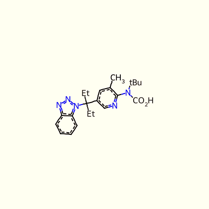 CCC(CC)(c1cnc(N(C(=O)O)C(C)(C)C)c(C)c1)n1nnc2ccccc21